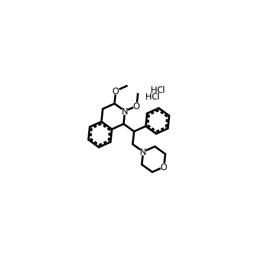 COC1Cc2ccccc2C(C(CN2CCOCC2)c2ccccc2)N1OC.Cl.Cl